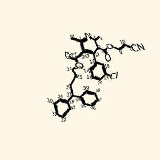 CC1=NC(C)C(C(=O)OCCC#N)C(c2cccc(Cl)c2)=C1C(=O)OCCCC(c1ccccc1)c1ccccc1